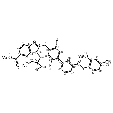 COC(=O)c1ccc2nc(Cc3cc(F)c(-c4cccc(OCc5ccc(C#N)cc5OC)n4)cc3F)n(CC3(CC#N)CC3)c2c1